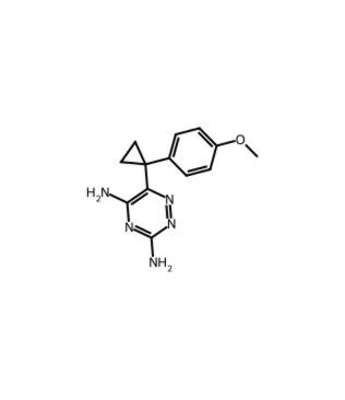 COc1ccc(C2(c3nnc(N)nc3N)CC2)cc1